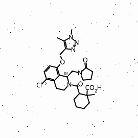 Cc1c(COc2ccc(Cl)c3c2[C@@H](CN2CCCC2=O)N(C(=O)C2CCCCC2(C)C(=O)O)CC3)nnn1C